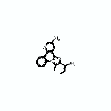 B/C(=C/C)c1nc2c3cc(B)cnc3c3ccccc3n2c1C